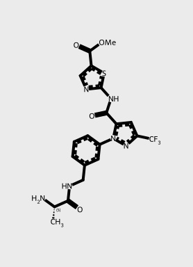 COC(=O)c1cnc(NC(=O)c2cc(C(F)(F)F)nn2-c2cccc(CNC(=O)[C@H](C)N)c2)s1